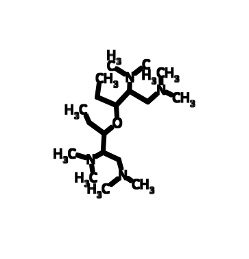 CCC(OC(CC)C(CN(C)C)N(C)C)C(CN(C)C)N(C)C